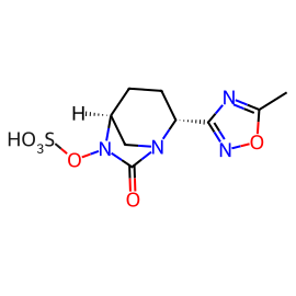 Cc1nc([C@H]2CC[C@H]3CN2C(=O)N3OS(=O)(=O)O)no1